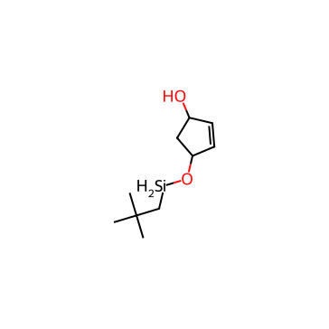 CC(C)(C)C[SiH2]OC1C=CC(O)C1